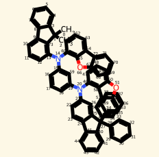 CC1(C)c2ccccc2-c2cccc(N(c3cccc(N(c4ccc5c(c4)C(c4ccccc4)(c4ccccc4)c4ccccc4-5)c4cccc5oc6ccccc6c45)c3)c3cccc4c3oc3ccccc34)c21